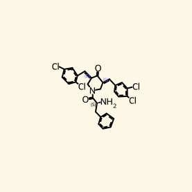 N[C@@H](Cc1ccccc1)C(=O)N1C/C(=C\c2ccc(Cl)c(Cl)c2)C(=O)/C(=C/c2cc(Cl)ccc2Cl)C1